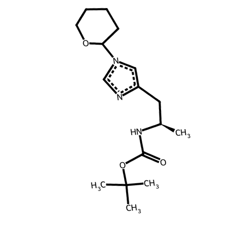 C[C@H](Cc1cn(C2CCCCO2)cn1)NC(=O)OC(C)(C)C